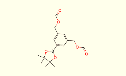 CC1(C)OB(c2cc(COC=O)cc(COC=O)c2)OC1(C)C